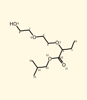 CCC(OCCOCCO)C(=O)OCC(C)C